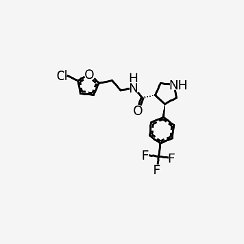 O=C(NCCc1ccc(Cl)o1)[C@@H]1CNC[C@H]1c1ccc(C(F)(F)F)cc1